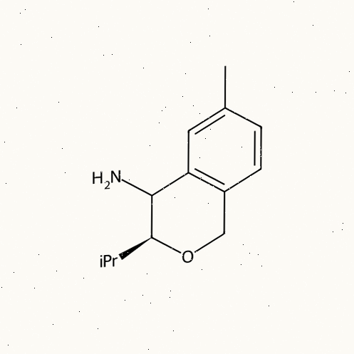 Cc1ccc2c(c1)C(N)[C@H](C(C)C)OC2